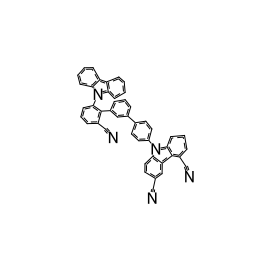 N#Cc1ccc2c(c1)c1c(C#N)cccc1n2-c1ccc(-c2cccc(-c3c(C#N)cccc3-n3c4ccccc4c4ccccc43)c2)cc1